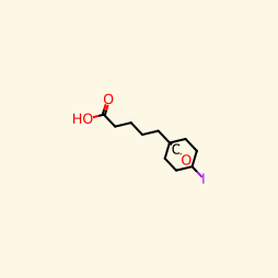 O=C(O)CCCCC12CCC(I)(CC1)OC2